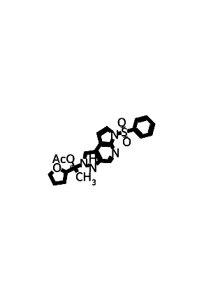 CC(=O)O[C@](C)(C1CCCO1)N1Cc2c(cnc3c2ccn3S(=O)(=O)c2ccccc2)N1